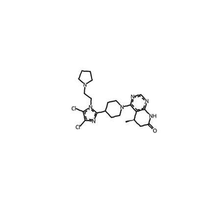 C[C@@H]1CC(=O)Nc2ncnc(N3CCC(c4nc(Cl)c(Cl)n4CCN4CCCC4)CC3)c21